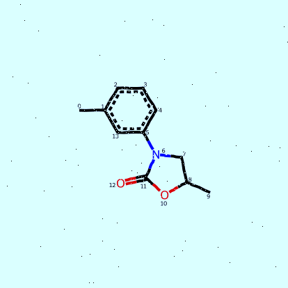 Cc1cccc(N2CC(C)OC2=O)c1